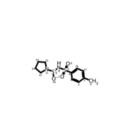 Cc1ccc(S(=O)(=O)N[S+]([O-])N2CCCC2)cc1